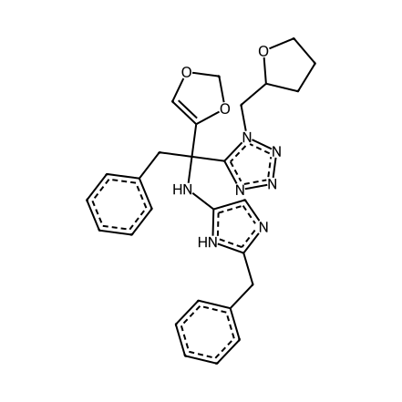 C1=C(C(Cc2ccccc2)(Nc2cnc(Cc3ccccc3)[nH]2)c2nnnn2CC2CCCO2)OCO1